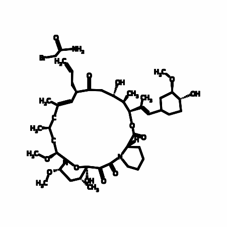 C=CC[C@@H]1/C=C(\C)C[C@H](C)C[C@H](OC)[C@H]2O[C@@](O)(C(=O)C(=O)N3CCCC[C@H]3C(=O)O[C@H](/C(C)=C/C3CC[C@@H](O)[C@H](OC)C3)[C@H](C)[C@@H](O)CC1=O)[C@H](C)C[C@@H]2OC.NC(=O)CBr